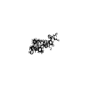 CCCN(CCC)C(=O)c1cc(C)cc(C(=O)OC(CNCc2cccc(-c3cnc(OC)nc3OC)c2)C(N)Cc2cc(F)cc(F)c2)c1